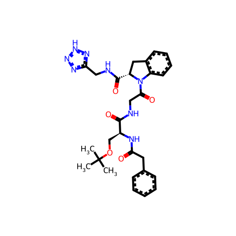 CC(C)(C)OC[C@H](NC(=O)Cc1ccccc1)C(=O)NCC(=O)N1c2ccccc2C[C@H]1C(=O)NCc1nn[nH]n1